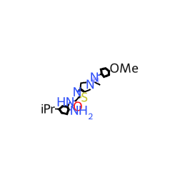 COc1ccc(/N=C(\C)N2CCc3nc(C(=O)Nc4cc(C(C)C)ccc4N)sc3C2)cc1